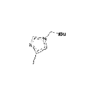 CCCCCn1cnc(C)c1